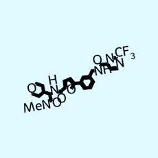 CNC(=O)[C@@H](NC(=O)c1ccc(-c2cccc(CNC(=O)c3ccnc(C(F)(F)F)n3)c2)o1)C1CCOCC1